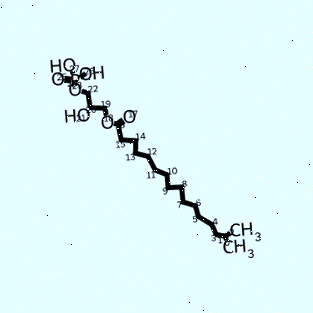 CC(C)CCCCCCCCCCCCCC(=O)OCC(O)COP(=O)(O)O